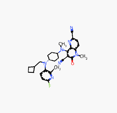 Cc1nc(F)ccc1N(CC1CCC1)[C@H]1CC[C@H](N(C)c2c(C#N)c(=O)n(C)c3ccc(C#N)nc23)CC1